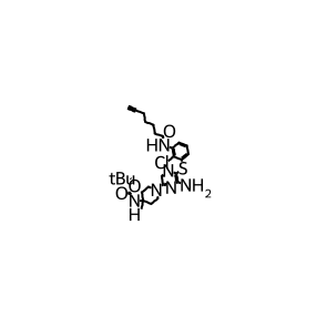 C#CCCCCC(=O)Nc1cccc(Sc2ncc(N3CCC(C)(NC(=O)OC(C)(C)C)CC3)nc2N)c1Cl